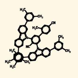 Cc1cc(C)cc(-c2ccc3c4ccc(-c5cc(C)cc(C)c5)cc4n(-c4cc(-c5ccc(C#N)cc5C)cc(-n5c6cc(-c7cc(C)cc(C)c7)ccc6c6ccc(-c7cc(C)cc(C)c7)cc65)c4C#N)c3c2)c1